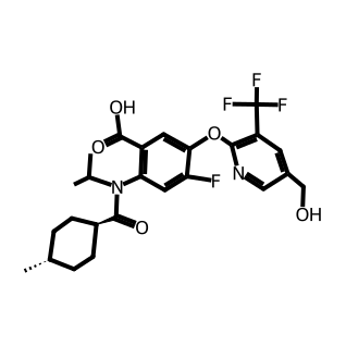 CC(C)N(c1cc(F)c(Oc2ncc(CO)cc2C(F)(F)F)cc1C(=O)O)C(=O)[C@H]1CC[C@H](C)CC1